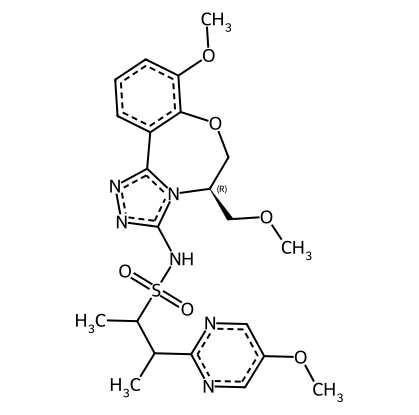 COC[C@@H]1COc2c(OC)cccc2-c2nnc(NS(=O)(=O)C(C)C(C)c3ncc(OC)cn3)n21